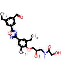 CCc1cc(C=O)cc(-c2nc(-c3cc(C)c(OCC(O)CNC(=O)CO)c(CC)c3)no2)c1